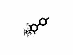 CC1CCC(C2CC(F)C(S(F)(F)(F)(F)F)C(F)C2)CC1